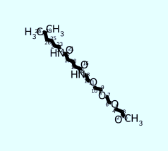 CC(=O)CCOCCOCCOCCNC(=O)CCCC(=O)NCCCCC(C)C